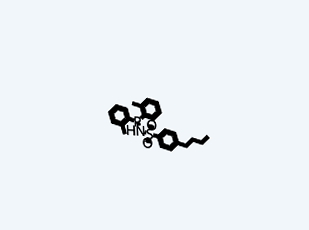 CCCCc1ccc(S(=O)(=O)NP(c2ccccc2C)c2ccccc2C)cc1